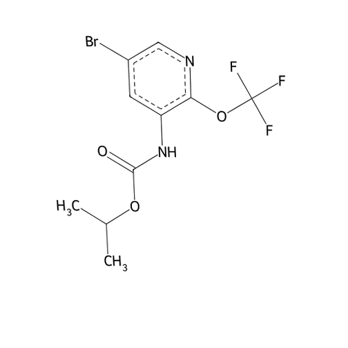 CC(C)OC(=O)Nc1cc(Br)cnc1OC(F)(F)F